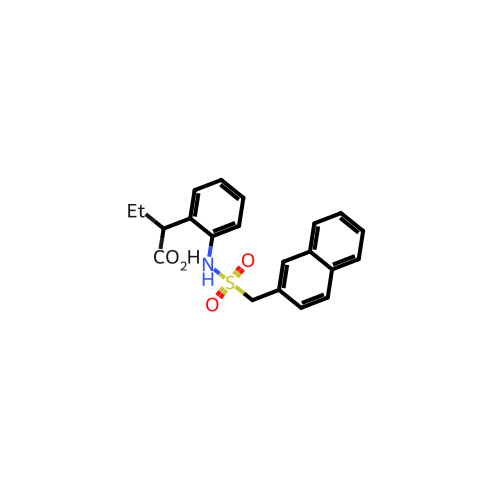 CCC(C(=O)O)c1ccccc1NS(=O)(=O)Cc1ccc2ccccc2c1